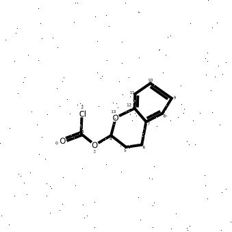 O=C(Cl)OC1CCc2ccccc2O1